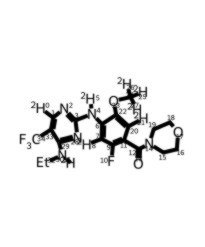 [2H]c1nc(N([2H])c2c([2H])c(F)c(C(=O)N3CCOCC3)c([2H])c2OC([2H])([2H])[2H])nc(N([2H])CC)c1C(F)(F)F